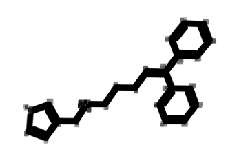 C(CCCNCc1ccsc1)=C(c1ccccc1)c1ccccc1